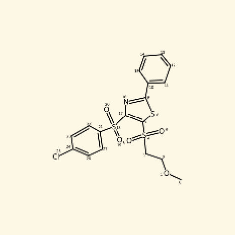 COCCS(=O)(=O)c1sc(-c2ccccc2)nc1S(=O)(=O)c1ccc(Cl)cc1